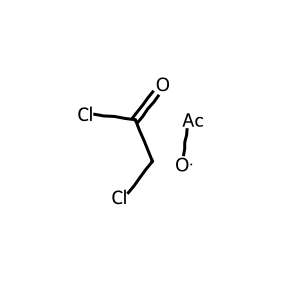 CC([O])=O.O=C(Cl)CCl